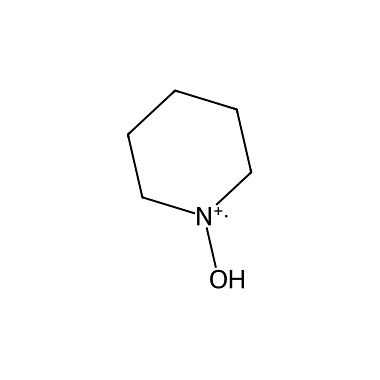 O[N+]1CCCCC1